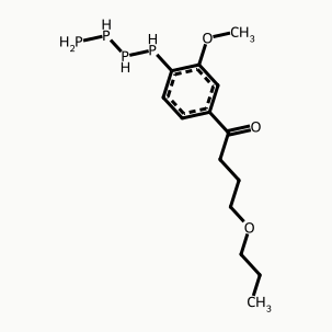 CCCOCCCC(=O)c1ccc(PPPP)c(OC)c1